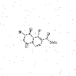 COC(=O)c1ccc2[nH]cc(Br)c(=O)c2c1F